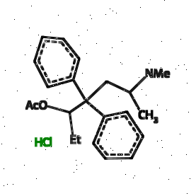 CCC(OC(C)=O)C(CC(C)NC)(c1ccccc1)c1ccccc1.Cl